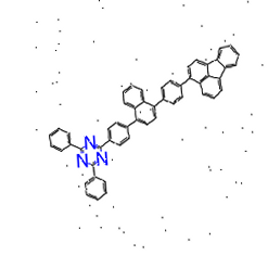 c1ccc(-c2nc(-c3ccccc3)nc(-c3ccc(-c4ccc(-c5ccc(-c6ccc7c8c(cccc68)-c6ccccc6-7)cc5)c5ccccc45)cc3)n2)cc1